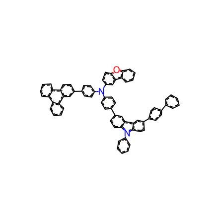 c1ccc(-c2ccc(-c3ccc4c(c3)c3cc(-c5ccc(N(c6ccc(-c7ccc8c9ccccc9c9ccccc9c8c7)cc6)c6ccc7oc8ccccc8c7c6)cc5)ccc3n4-c3ccccc3)cc2)cc1